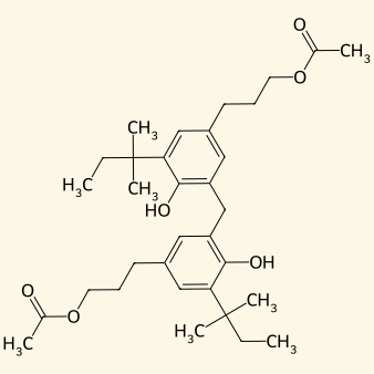 CCC(C)(C)c1cc(CCCOC(C)=O)cc(Cc2cc(CCCOC(C)=O)cc(C(C)(C)CC)c2O)c1O